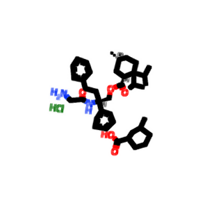 CC(C)C1(C(C)C)CC[C@@H](C)C[C@H]1C(=O)OC[C@](CCc1ccccc1)(NC(=O)CN)c1ccccc1.CC1CCCC(C(=O)O)C1.Cl